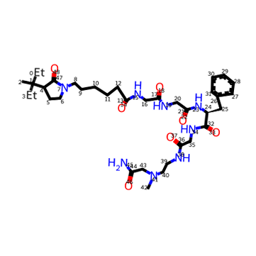 CCC(C)(CC)C1CCN(CCCCCC(=O)NCC(=O)NCC(=O)N[C@@H](Cc2ccccc2)C(=O)NCC(=O)NCCN(C)CC(N)=O)C1=O